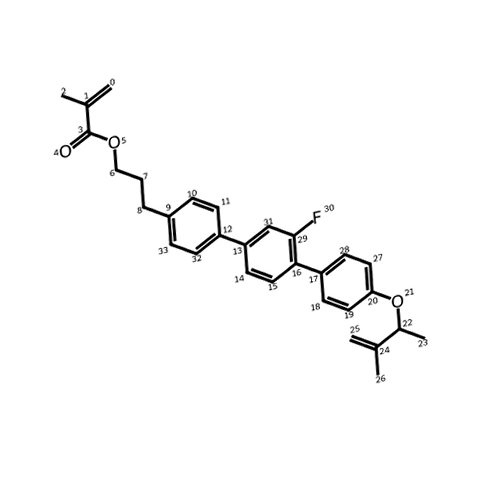 C=C(C)C(=O)OCCCc1ccc(-c2ccc(-c3ccc(OC(C)C(=C)C)cc3)c(F)c2)cc1